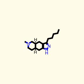 CCCCCc1n[nH]c2c1C[C@@H]1CN(C)CC[C@H]1C2